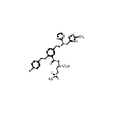 Cc1ncc(CC(OCc2ccc(CCc3ccc(F)cc3)c(C(=O)N[C@@H](CCS(C)(=O)=O)C(=O)O)c2)c2nccs2)[nH]1